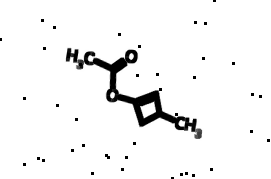 CC(=O)OC1=CC(C)C1